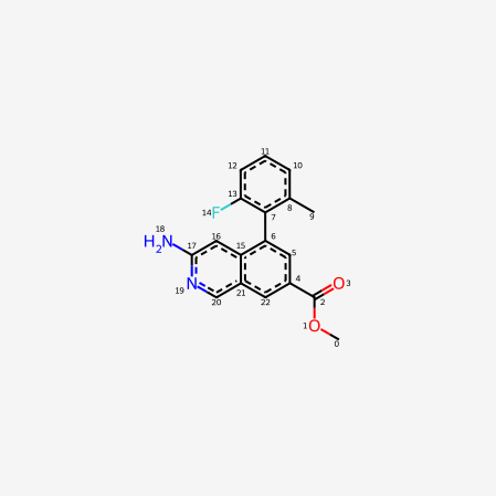 COC(=O)c1cc(-c2c(C)cccc2F)c2cc(N)ncc2c1